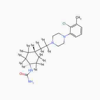 [2H]C([2H])(N1CCN(c2cccc(C)c2Cl)CC1)C([2H])([2H])[C@]1([2H])C([2H])([2H])C([2H])([2H])[C@@]([2H])(NC(N)=O)C([2H])([2H])C1([2H])[2H]